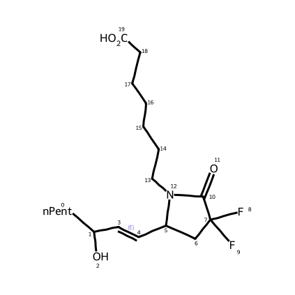 CCCCCC(O)/C=C/C1CC(F)(F)C(=O)N1CCCCCCC(=O)O